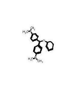 CN(C)c1ccc(C(OC2CCCCC2)c2ccc(N(C)C)cc2)cc1